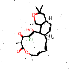 C[C@@H]1C(=O)O[C@@H](C)/C=C/C=C\[C@@H](C)[C@@H]2C=C[C@@H]3CC(C)(C)O[C@@H](C)C3C2/C(O)=C(\Cl)C1=O